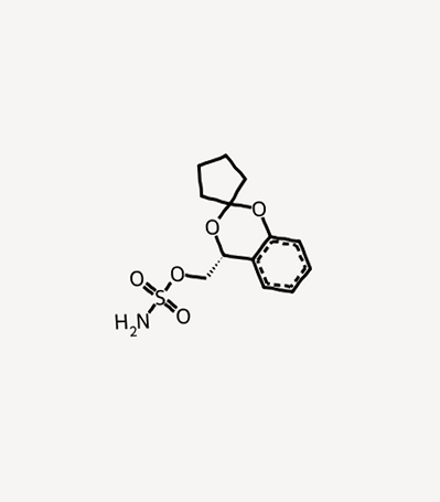 NS(=O)(=O)OC[C@@H]1OC2(CCCC2)Oc2ccccc21